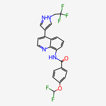 O=C(Nc1cccc2c(-c3cnn(CC(F)(F)F)c3)ccnc12)c1ccc(OC(F)F)cc1